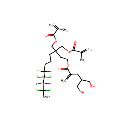 C=C(C)C(=O)OCC(CCCC(F)(F)C(F)(F)C(F)(F)C(F)(F)CCCCCCCCC)(CCOC(=O)C(=C)CC(CO)CO)COC(=O)C(=C)C